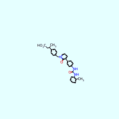 Cc1ccccc1NC(=O)Nc1ccc(-c2cccn(Cc3ccc([C@H](C)CC(=O)O)cc3)c2=O)cc1